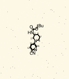 CC(C)(C)OC(=O)NC1CCCN(c2ccc(C#N)nc2)C1